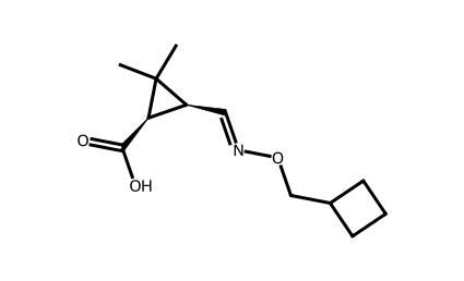 CC1(C)[C@H](C(=O)O)[C@@H]1C=NOCC1CCC1